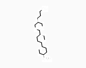 CO[C@H]1CC[C@H]([C@H]2CC[C@H]([C@H]3OC[C@H](CCCC(F)(F)F)CO3)CC2)CC1